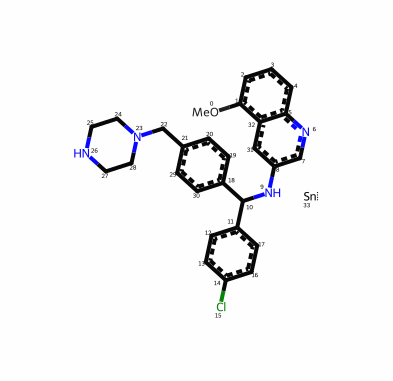 COc1cccc2ncc(NC(c3ccc(Cl)cc3)c3ccc(CN4CCNCC4)cc3)cc12.[Sn]